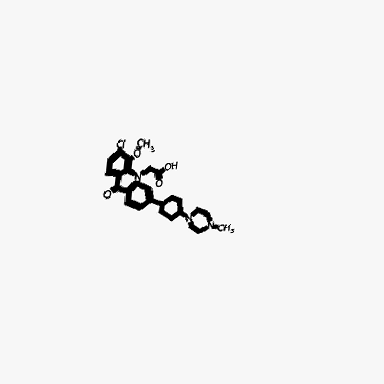 COc1c(Cl)ccc2c(=O)c3ccc(C4CCC(N5CCN(C)CC5)CC4)cc3n(CC(=O)O)c12